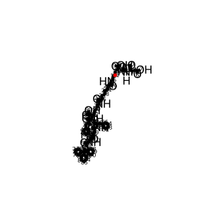 O=CC(CCC(=O)O)NC(=O)N[C@@H](CCCCNC(=O)CCCCCCC(=O)NCCCCC(NC(=O)C(Cc1ccccc1)NC(=O)C(Cc1ccccc1)NC(=O)CNC(=O)CNC(=O)CSC(c1ccccc1)(c1ccccc1)c1ccccc1)C(=O)O)C(=O)O